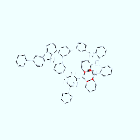 c1ccc(-c2ccc3c(c2)c2ccccc2n3-c2ccc(-c3nc(-c4ccccc4)nc(-c4ccccc4)n3)cc2-c2cccc(-c3cccc(N4c5ccccc5B5c6ccccc6N(c6ccccc6)c6cccc4c65)c3)c2)cc1